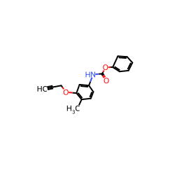 C#CCOc1cc(NC(=O)Oc2ccccc2)ccc1C